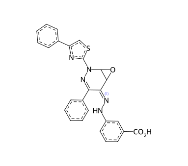 O=C(O)c1cccc(N/N=C2\C(c3ccccc3)=NN(c3nc(-c4ccccc4)cs3)C3OC23)c1